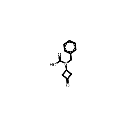 O=C1CC(N(Cc2ccccc2)C(=O)O)C1